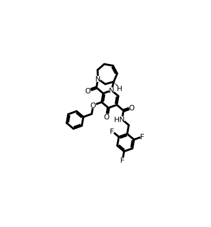 O=C(NCc1c(F)cc(F)cc1F)c1cn2c(c(OCc3ccccc3)c1=O)C(=O)N1CCC=C[C@@H]2C1